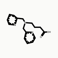 O=C(O)CCCN(Cc1ccccn1)Cc1ccccn1